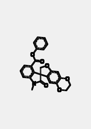 CN1C(=O)C2(COc3cc4c(cc32)OCCO4)c2c(C(=O)Oc3ccccc3)cccc21